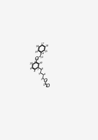 O=[C]OCCCCc1cccc(OCc2ccccc2)c1